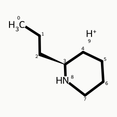 CCC[C@H]1CCCCN1.[H+]